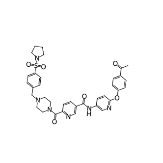 CC(=O)c1ccc(Oc2ccc(NC(=O)c3ccc(C(=O)N4CCN(Cc5ccc(S(=O)(=O)N6CCCC6)cc5)CC4)nc3)cn2)cc1